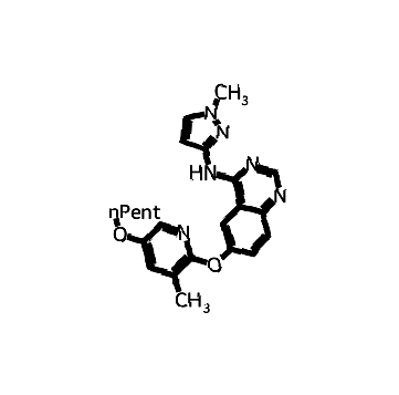 CCCCCOc1cnc(Oc2ccc3ncnc(Nc4ccn(C)n4)c3c2)c(C)c1